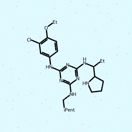 CCCC(C)CNc1nc(Nc2ccc(OCC)c(Cl)c2)nc(NC(CC)C2CCCN2)n1